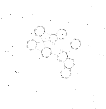 c1ccc(-c2nc(-c3ccc4c(c3)C3(c5ccccc5-4)c4ccccc4-n4c3nc3ccccc34)nc3c2ccc2ccccc23)cc1